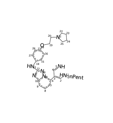 CCCCCN/C=C(\C=N)c1cccc2nc(Nc3ccc(OCCN4CCCC4)cc3)nn12